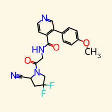 COc1ccc(-c2cnccc2C(=O)NCC(=O)N2CC(F)(F)CC2C#N)cc1